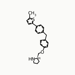 Cc1ccc(-c2ccc(Cc3ccc(OC[C@H]4CCCN4)cc3)cc2)s1